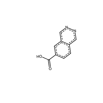 O=C(O)c1ccc2cnncc2c1